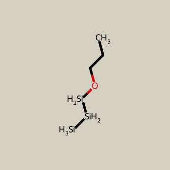 CCCO[SiH2][SiH2][SiH3]